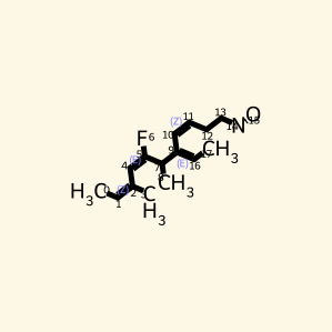 C/C=C(C)\C=C(\F)C(C)C(/C=C\CCN=O)=C/C